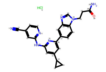 Cl.N#Cc1ccnc(Nc2cc(C3CC3)cc(-c3ccc4c(c3)ncn4CCC(N)=O)n2)c1